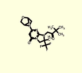 CC(C)(C)C(=O)CN1c2nc(N3CC4CC3CO4)cc(=O)n2CC1(C)C(F)(F)F